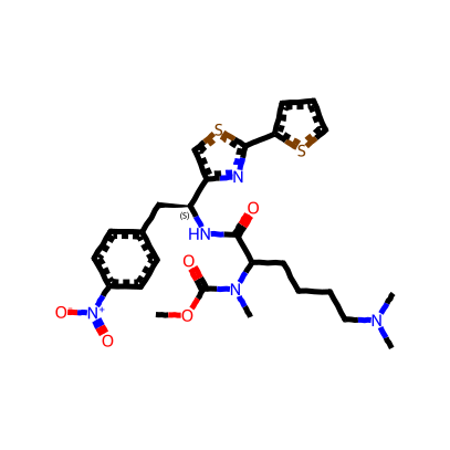 COC(=O)N(C)C(CCCCN(C)C)C(=O)N[C@@H](Cc1ccc([N+](=O)[O-])cc1)c1csc(-c2cccs2)n1